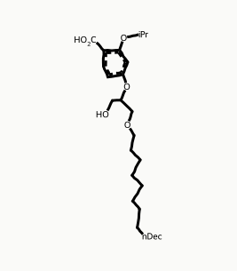 CCCCCCCCCCCCCCCCCCOCC(CO)Oc1ccc(C(=O)O)c(OC(C)C)c1